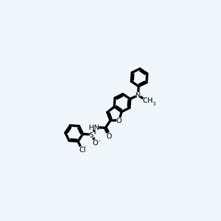 CN(c1ccccc1)c1ccc2cc(C(=O)N[S+]([O-])c3ccccc3Cl)oc2c1